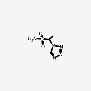 CC(n1[c]nnn1)S(N)(=O)=O